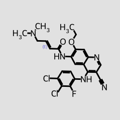 CCOc1cc2ncc(C#N)c(Nc3ccc(Cl)c(Cl)c3F)c2cc1NC(=O)/C=C/CN(C)C